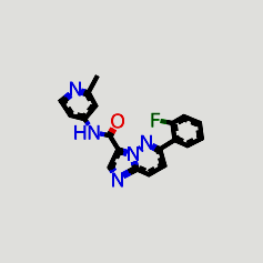 Cc1cc(NC(=O)c2cnc3ccc(-c4ccccc4F)nn23)ccn1